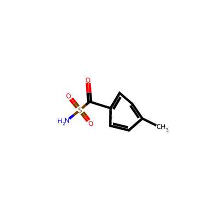 Cc1ccc(C(=O)S(N)(=O)=O)cc1